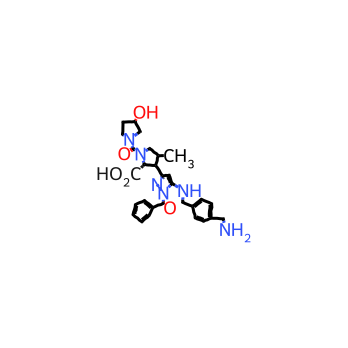 CC1CN(C(=O)N2CCC(O)C2)C(C(=O)O)C1c1cc(NCc2ccc(CN)cc2)n(C(=O)c2ccccc2)n1